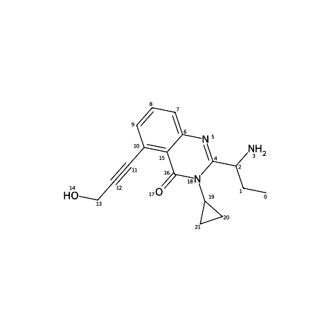 CCC(N)c1nc2cccc(C#CCO)c2c(=O)n1C1CC1